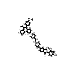 CCC(=C(c1ccc(O)cc1)c1ccc(N2CCC(CCN3CCN(c4ccc5c(c4)C(=O)N(C4CCC(=O)NC4=O)C5=O)CC3)CC2)cc1)c1ccccc1